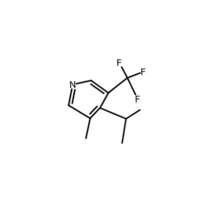 Cc1cncc(C(F)(F)F)c1C(C)C